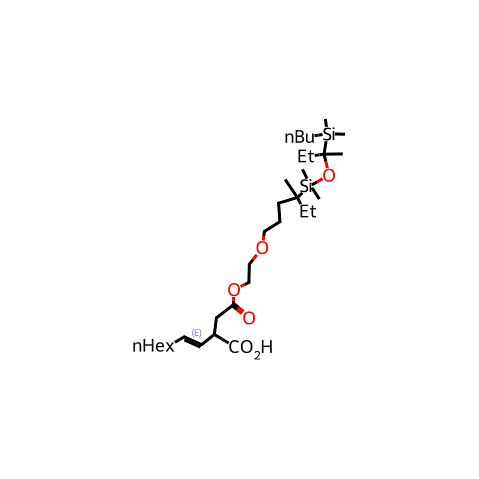 CCCCCC/C=C/C(CC(=O)OCCOCCCC(C)(CC)[Si](C)(C)OC(C)(CC)[Si](C)(C)CCCC)C(=O)O